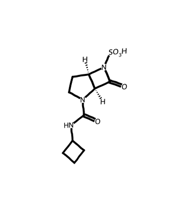 O=C(NC1CCC1)N1CC[C@@H]2[C@H]1C(=O)N2S(=O)(=O)O